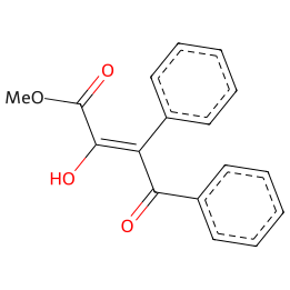 COC(=O)C(O)=C(C(=O)c1ccccc1)c1ccccc1